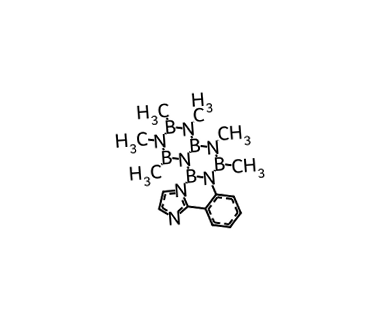 CB1N(C)B(C)N2B(N1C)N(C)B(C)N1B2n2ccnc2-c2ccccc21